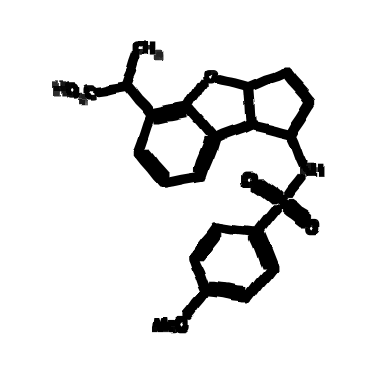 COc1ccc(S(=O)(=O)NC2CCC3Oc4c(C(C)C(=O)O)cccc4C23)cc1